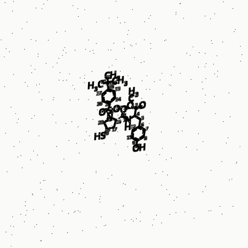 COC(=O)C(Cc1ccc(O)cc1)NC(=O)[C@@H]1C[C@H](S)CN1S(=O)(=O)c1ccc(C(C)(C)C)cc1